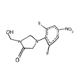 O=C1CN(c2c(F)cc([N+](=O)[O-])cc2F)CN1CO